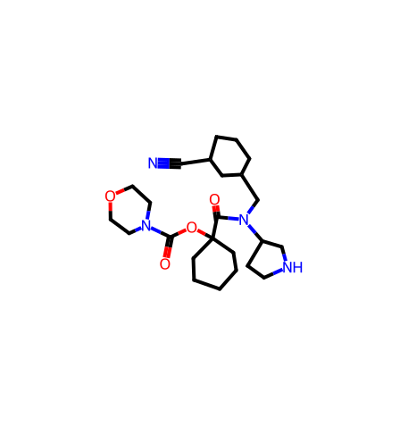 N#CC1CCCC(CN(C(=O)C2(OC(=O)N3CCOCC3)CCCCC2)C2CCNC2)C1